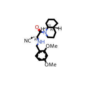 COc1ccc(CN[C@H](CC#N)C(=O)N2CCC[C@H]3CCCC[C@@H]32)c(OC)c1